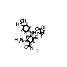 CN[C@H]1CC[C@H](Nc2nc(OC)c(C(N)=O)cc2F)CC1.O=C(O)C(F)(F)F